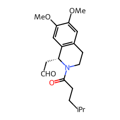 COc1cc2c(cc1OC)[C@@H](CC=O)N(C(=O)CCC(C)C)CC2